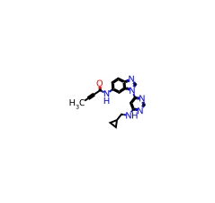 CC#CC(=O)Nc1ccc2ncn(-c3cc(NCC4CC4)ncn3)c2c1